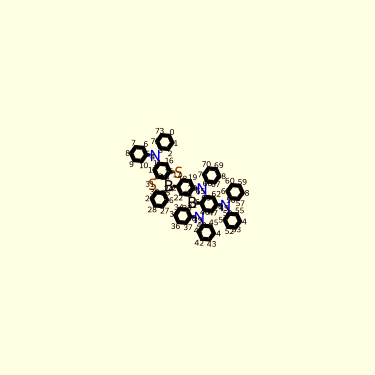 c1ccc(N(c2ccccc2)c2cc3c4c(c2)Sc2cc5c(cc2B4c2ccccc2S3)B2c3ccccc3N(c3ccccc3)c3cc(N(c4ccccc4)c4ccccc4)cc(c32)N5c2ccccc2)cc1